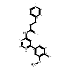 COc1cc(-c2cc(NC(=O)CCc3ccncc3)ncn2)ccc1F